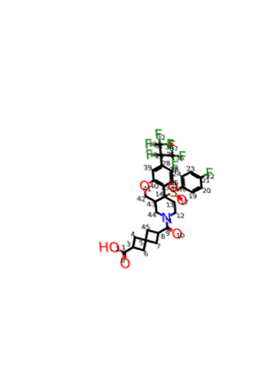 O=C(O)C1CC2(C1)CC(C(=O)N1CCC3(S(=O)(=O)c4ccc(F)cc4)c4ccc(C(F)(C(F)(F)F)C(F)(F)F)cc4OCC3C1)C2